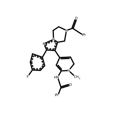 CC(C)C(=O)NC1=CC(c2c(-c3ccc(F)cc3)nn3c2CN(C(=O)C(C)C)CC3)=CCN1C